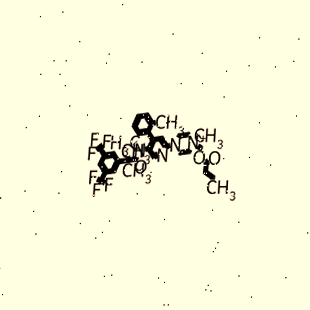 CCCC(=O)OC[N+]1(C)CCN(c2cc(-c3ccccc3C)c(N(C)C(=O)C(C)(C)c3cc(C(F)(F)F)cc(C(F)(F)F)c3)cn2)CC1